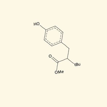 COC(=O)C(Cc1ccc(O)cc1)C(C)(C)C